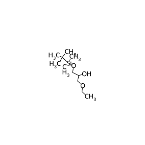 CCOCC(O)CO[Si](C)(C)C(C)(C)C